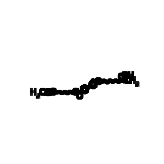 C=COCOCCCCCCCOC(=O)C1CCC(C2CCC(OCCCCCCCC(C=C)OO)CC2)CC1